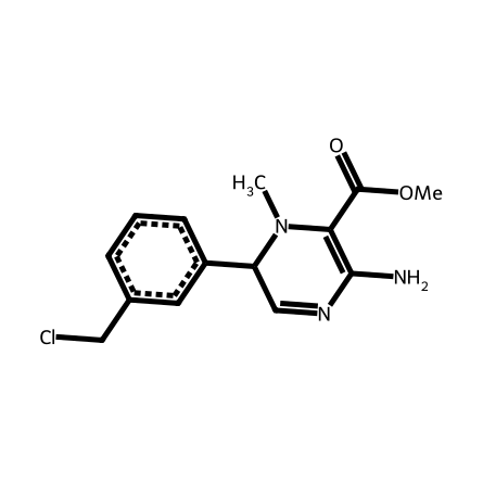 COC(=O)C1=C(N)N=CC(c2cccc(CCl)c2)N1C